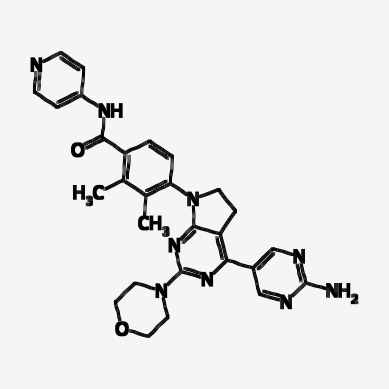 Cc1c(C(=O)Nc2ccncc2)ccc(N2CCc3c(-c4cnc(N)nc4)nc(N4CCOCC4)nc32)c1C